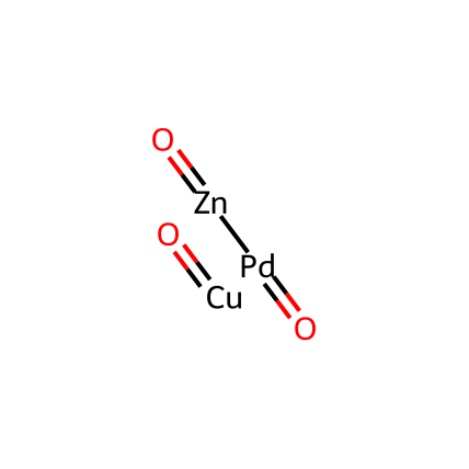 [O]=[Cu].[O]=[Zn][Pd]=[O]